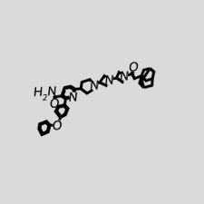 NC(=O)c1ccc(C2CCN(C3CN(C4CN(C(=O)CC56CC7CC(CC(C7)C5)C6)C4)C3)CC2)nc1-c1ccc(Oc2ccccc2)cc1